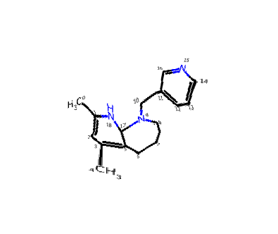 CC1=CC(C)=C2CC[C]N(Cc3cccnc3)C2N1